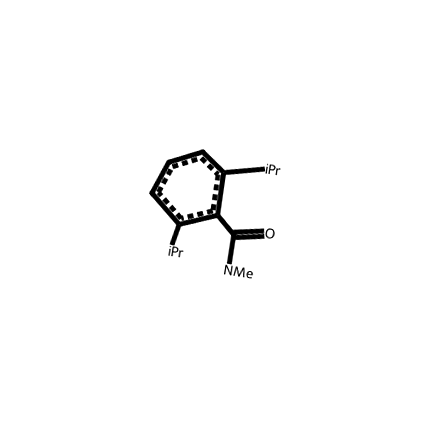 CNC(=O)c1c(C(C)C)cccc1C(C)C